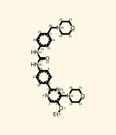 CCOc1cnc(-c2ccc(NC(=O)Nc3ccc(CN4CCOCC4)cc3)cc2)nc1N1CCOCC1